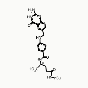 CCCCNC(=O)CC[C@H](NC(=O)c1ccc(NCc2cnc3nc(N)[nH]c(=O)c3n2)cc1)C(=O)O